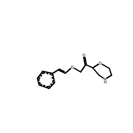 O=C(COC=Cc1ccccc1)C1CNCCO1